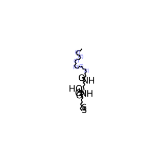 CC/C=C\C/C=C\C/C=C\C/C=C\C/C=C\C/C=C\CCC(=O)NCCCC[C@H](NC(=O)CCCCC1CCSS1)C(=O)O